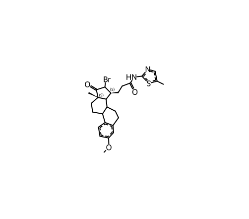 COc1ccc2c(c1)CCC1C2CC[C@]2(C)C(=O)C(Br)[C@@H](CCC(=O)Nc3ncc(C)s3)C12